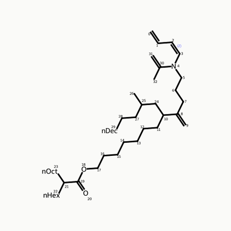 C=C/C=C\N(CCCC(=C)C(CCCCCCCOC(=O)C(CCCCCC)CCCCCCCC)CC(C)CCCCCCCCCCCC)C(=C)C